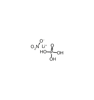 O=P(O)(O)O.O=[N+]([O-])[O-].[Li+]